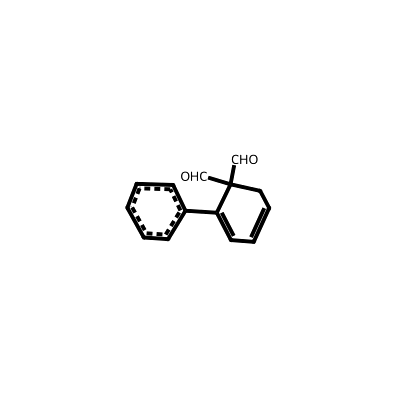 O=CC1(C=O)CC=CC=C1c1ccccc1